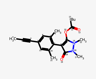 CC#Cc1cc(C)c(-c2c(OC(=O)C(C)(C)C)n(C)n(C)c2=O)c(C)c1